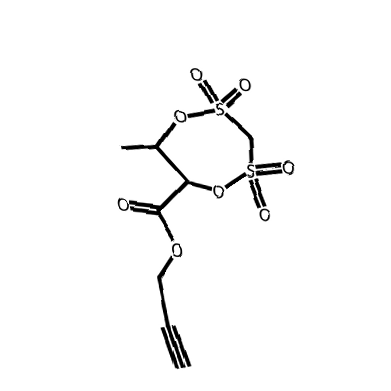 C#CCOC(=O)C1OS(=O)(=O)CS(=O)(=O)OC1C